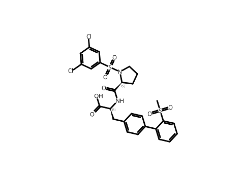 CS(=O)(=O)c1ccccc1-c1ccc(C[C@H](NC(=O)[C@@H]2CCCN2S(=O)(=O)c2cc(Cl)cc(Cl)c2)C(=O)O)cc1